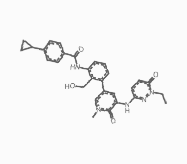 CCn1nc(Nc2cc(-c3cccc(NC(=O)c4ccc(C5CC5)cc4)c3CO)cn(C)c2=O)ccc1=O